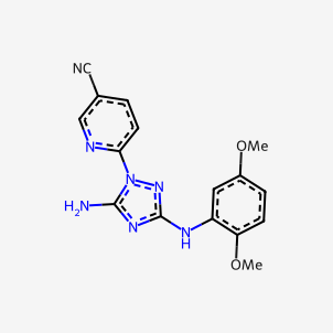 COc1ccc(OC)c(Nc2nc(N)n(-c3ccc(C#N)cn3)n2)c1